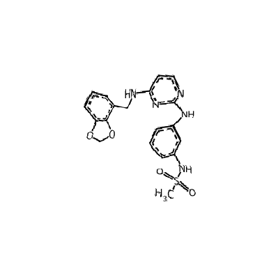 CS(=O)(=O)Nc1cccc(Nc2nccc(NCc3cccc4c3OCO4)n2)c1